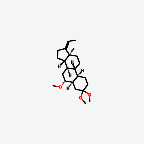 C/C=C1/CC[C@H]2[C@@H]3C[C@@H](OC)[C@@H]4CC(OC)(OC)CC[C@@H]4[C@H]3CC[C@]12C